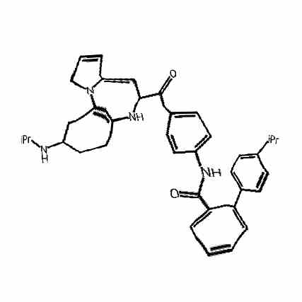 CC(C)NC1CCC2=C(C1)N1CC=CC1=CC(C(=O)c1ccc(NC(=O)c3ccccc3-c3ccc(C(C)C)cc3)cc1)N2